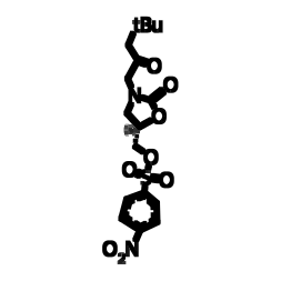 CC(C)(C)CC(=O)CN1C[C@@H](COS(=O)(=O)c2ccc([N+](=O)[O-])cc2)OC1=O